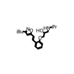 CCC(C)c1cc(C=Cc2ccccc2OCC(O)CNC(C)C)on1